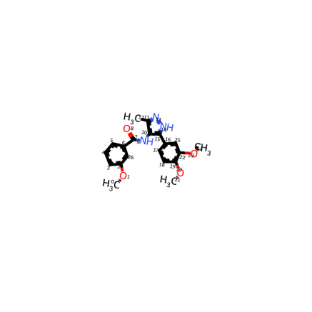 COc1cccc(C(=O)Nc2c(C)n[nH]c2-c2ccc(OC)c(OC)c2)c1